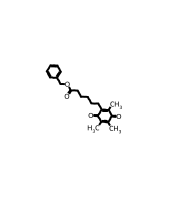 CC1=C(C)C(=O)C(CCCCCC(=O)OCc2ccccc2)=C(C)C1=O